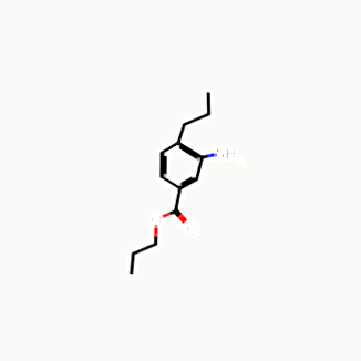 CCCOC(=O)c1ccc(CCC)c(N)c1